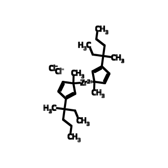 CCCC(C)(CC)C1=C[C](C)([Zr+2][C]2(C)C=CC(C(C)(CC)CCC)=C2)C=C1.[Cl-].[Cl-]